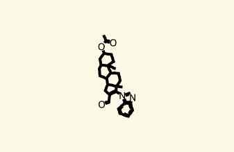 CC(=O)OC1CCC2(C)C(CCC3C4CC(C=O)=C(n5cnc6ccccc65)C4(C)CCC32)C1